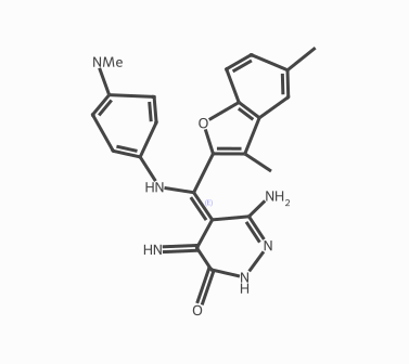 CNc1ccc(N/C(=C2\C(=N)C(=O)NN=C2N)c2oc3ccc(C)cc3c2C)cc1